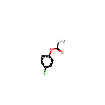 O=CC(=O)Oc1ccc(Br)cc1